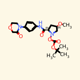 CO[C@@H]1C[C@H](C(=O)Nc2ccc(N3CCOCC3=O)cc2)N(OC(=O)OC(C)(C)C)C1